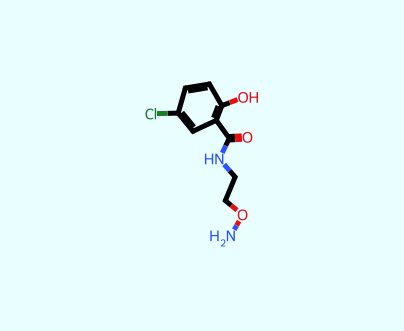 NOCCNC(=O)c1cc(Cl)ccc1O